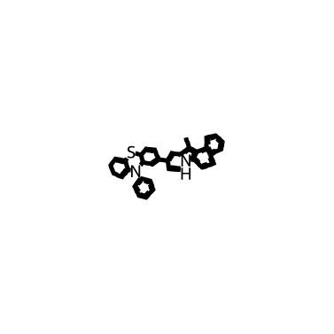 C=C/C(=C\c1[nH]c2ccc3ccccc3c2c1C)C1=CC2C(C=C1)SC1=CCCC=C1N2c1ccccc1